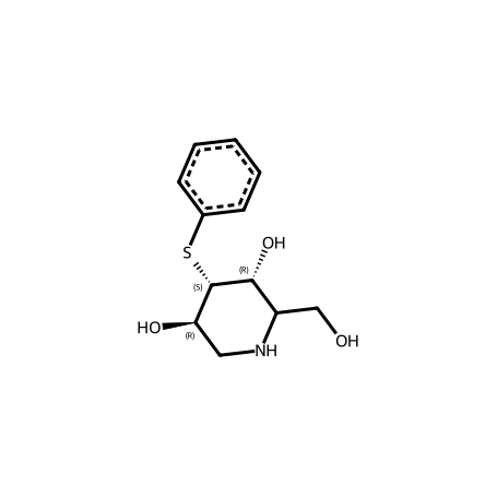 OCC1NC[C@@H](O)[C@H](Sc2ccccc2)[C@@H]1O